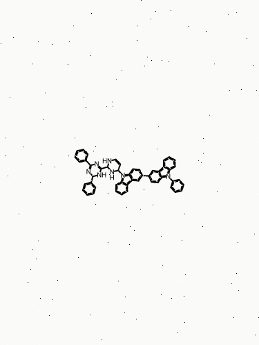 C1=CC(n2c3ccccc3c3cc(-c4ccc5c(c4)c4ccccc4n5-c4ccccc4)ccc32)NC(C2=NC(c3ccccc3)=NC(c3ccccc3)N2)N1